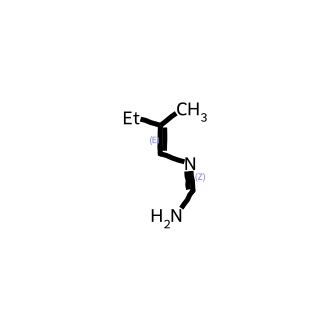 CC/C(C)=C/N=C\N